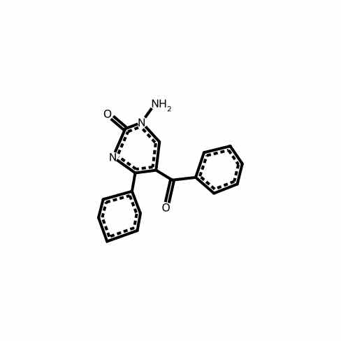 Nn1cc(C(=O)c2ccccc2)c(-c2ccccc2)nc1=O